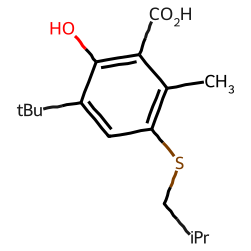 Cc1c(SCC(C)C)cc(C(C)(C)C)c(O)c1C(=O)O